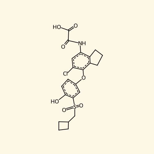 O=C(O)C(=O)Nc1cc(Cl)c(Oc2ccc(O)c(S(=O)(=O)CC3CCC3)c2)c2c1CCC2